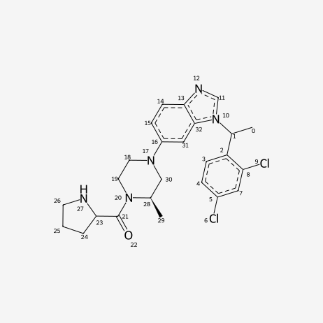 CC(c1ccc(Cl)cc1Cl)n1cnc2ccc(N3CCN(C(=O)C4CCCN4)[C@H](C)C3)cc21